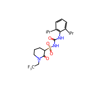 CC(C)c1cccc(C(C)C)c1NC(=O)NS(=O)(=O)C1CCCN(CC(F)(F)F)C1=O